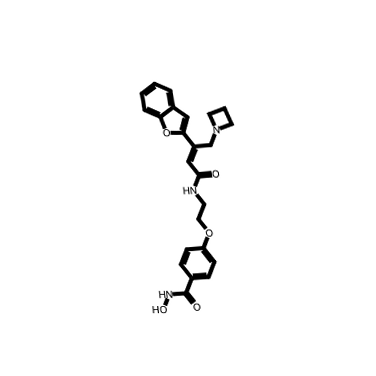 O=C(/C=C(\CN1CCC1)c1cc2ccccc2o1)NCCOc1ccc(C(=O)NO)cc1